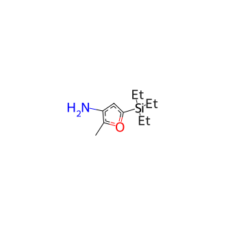 CC[Si](CC)(CC)c1cc(N)c(C)o1